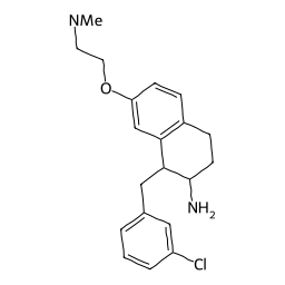 CNCCOc1ccc2c(c1)C(Cc1cccc(Cl)c1)C(N)CC2